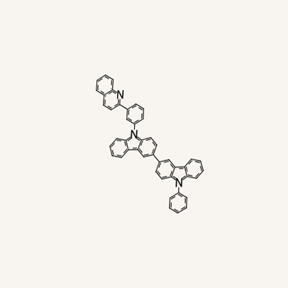 c1ccc(-n2c3ccccc3c3cc(-c4ccc5c(c4)c4ccccc4n5-c4cccc(-c5ccc6ccccc6n5)c4)ccc32)cc1